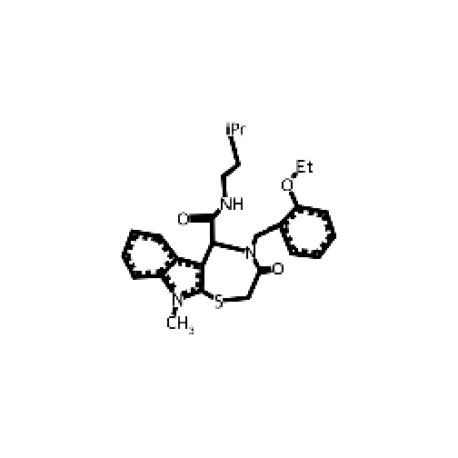 CCOc1ccccc1CN1C(=O)CSc2c(c3ccccc3n2C)C1C(=O)NCCC(C)C